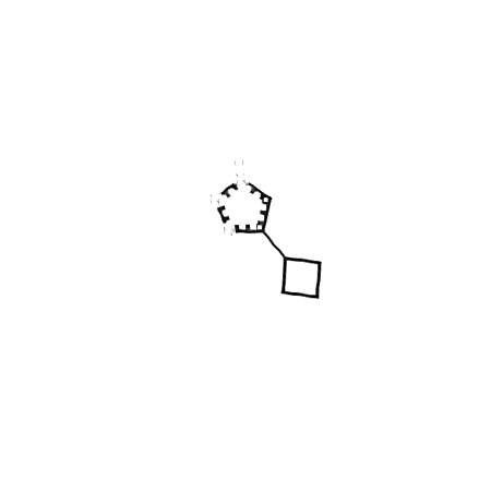 c1[nH]nnc1C1CCC1